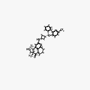 CN1c2nc(N[C@H]3C[C@@H](COc4ccc(C(F)(F)F)nc4-c4ccccc4)C3)nc3c2N(CCC3)C(=O)[C@]1(C)CO